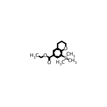 CCOC(=O)c1cc2c(c([Si](C)(C)C)c1)OCCC2